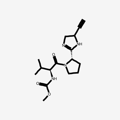 C#CC1CN=C([C@@H]2CCCN2C(=O)[C@@H](NC(=O)OC)C(C)C)N1